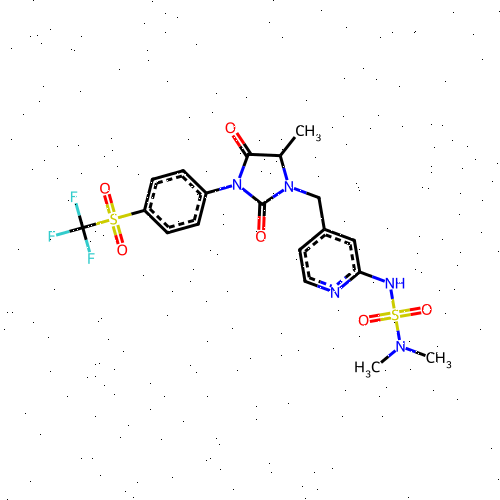 CC1C(=O)N(c2ccc(S(=O)(=O)C(F)(F)F)cc2)C(=O)N1Cc1ccnc(NS(=O)(=O)N(C)C)c1